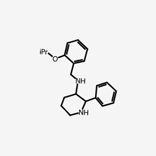 CC(C)Oc1ccccc1CNC1CCCNC1c1ccccc1